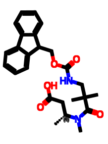 C[C@H](CC(=O)O)N(C)C(=O)C(C)(C)CNC(=O)OCC1c2ccccc2-c2ccccc21